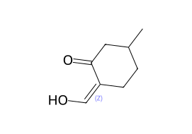 CC1CC/C(=C/O)C(=O)C1